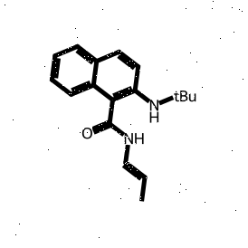 CC=CNC(=O)c1c(NC(C)(C)C)ccc2ccccc12